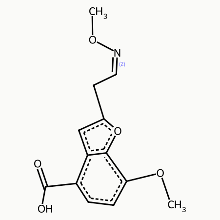 CO/N=C\Cc1cc2c(C(=O)O)ccc(OC)c2o1